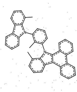 Cc1c(-n2c3ccccc3c3cccc(C)c32)cccc1-n1c2c(C)cccc2c2c3ccccc3c3ccccc3c21